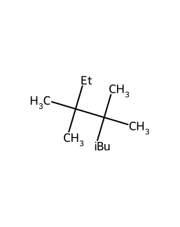 [CH2]CC(C)(C)C(C)(C)C(C)CC